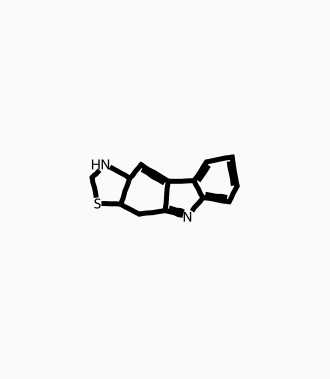 C1=C2C(=Nc3ccccc32)CC2SCNC12